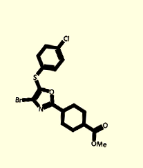 COC(=O)C1CCC(c2nc(Br)c(SC3=CC=C(Cl)CC3)o2)CC1